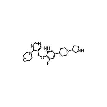 Fc1cc(C2CCN(C3CCNC3)CC2)cc2c1OCc1c(ncnc1N1CCOCC1)N2